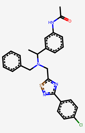 CC(=O)Nc1cccc(C(C)N(Cc2ccccc2)Cc2nc(-c3ccc(Cl)cc3)ns2)c1